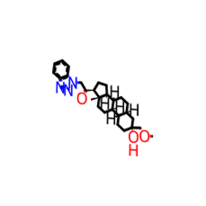 COC[C@@]1(O)CC[C@H]2[C@@H](CC[C@@H]3[C@@H]2CC[C@]2(C)[C@@H](C(=O)Cn4nnc5ccccc54)CC[C@@H]32)C1